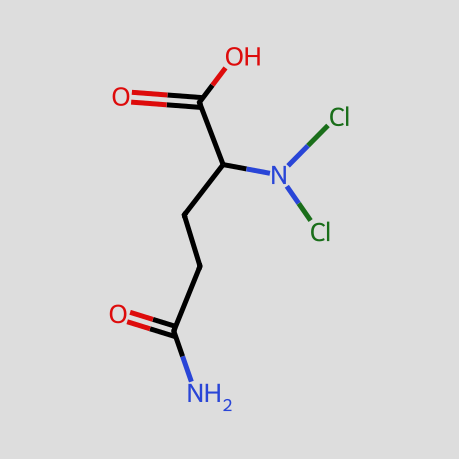 NC(=O)CCC(C(=O)O)N(Cl)Cl